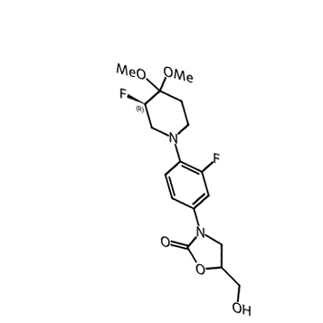 COC1(OC)CCN(c2ccc(N3CC(CO)OC3=O)cc2F)C[C@H]1F